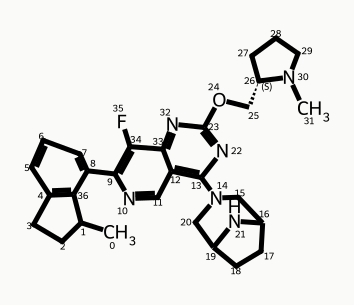 CC1CCc2cccc(-c3ncc4c(N5CC6CCC(C5)N6)nc(OC[C@@H]5CCCN5C)nc4c3F)c21